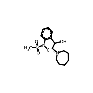 CN(c1ccccc1C(O)CN1CCCCCC1)S(C)(=O)=O